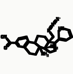 [N-]=[N+]=NC[C@]12CCC3c4ccc(C(=O)N=O)cc4CC[C@@]3(N)[C@]1(N)CC=C2C1=CC=CNC1